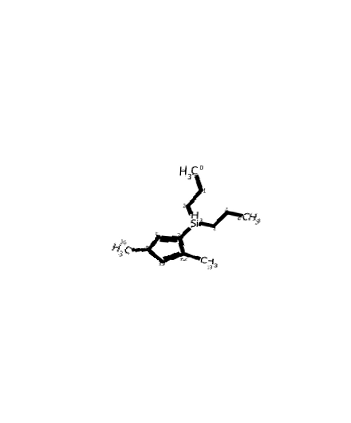 CCC[SiH](CCC)C1=CC(C)[C]=C1C